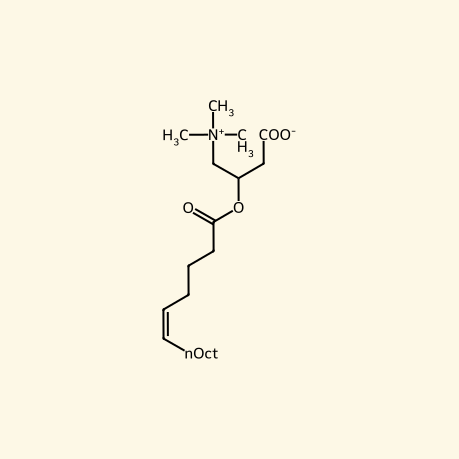 CCCCCCCC/C=C\CCCC(=O)OC(CC(=O)[O-])C[N+](C)(C)C